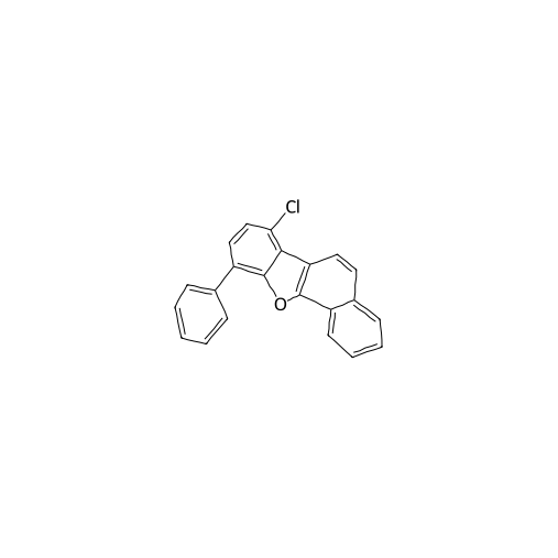 Clc1ccc(-c2ccccc2)c2oc3c4ccccc4ccc3c12